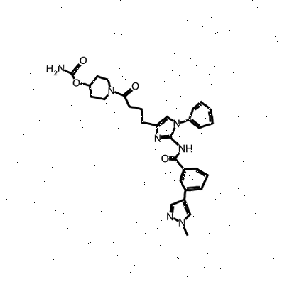 Cn1cc(-c2cccc(C(=O)Nc3nc(CCCC(=O)N4CCC(OC(N)=O)CC4)cn3-c3ccccc3)c2)cn1